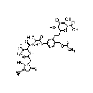 CC(=O)OCc1ccc(NC(=O)[C@H](C)NC(=O)[C@@H](NC(=O)CN2C(=O)CC(C3=C=C3)C2O)C(C)C)cc1CC[C@@H]1O[C@H](C(=O)O)[C@@H](O)[C@H](O)[C@H]1O